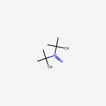 CC(C)(C#N)[N+](=[N-])C(C)(C)C#N